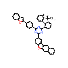 CC1(C)c2ccccc2-c2c(-c3nc(-c4ccc(-c5cc6ccccc6o5)cc4)nc(-c4ccc5oc6cc7ccccc7cc6c5c4)n3)cccc21